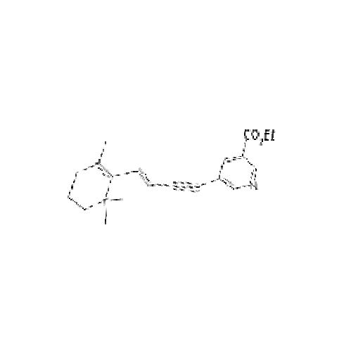 CCOC(=O)c1cncc(C#CC=CC2=C(C)CCCC2(C)C)c1